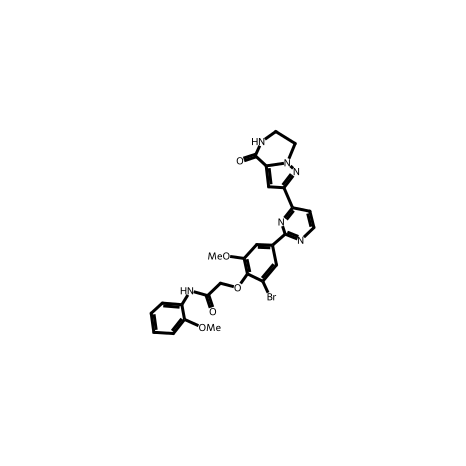 COc1ccccc1NC(=O)COc1c(Br)cc(-c2nccc(-c3cc4n(n3)CCNC4=O)n2)cc1OC